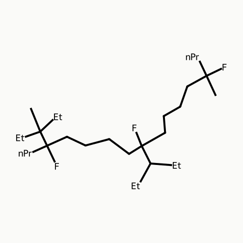 CCCC(C)(F)CCCCC(F)(CCCCC(F)(CCC)C(C)(CC)CC)C(CC)CC